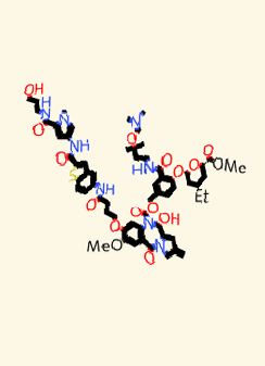 C=C1CC2C(O)N(C(=O)OCc3ccc(O[C@H]4C[C@@H](CC)C[C@@H](C(=O)OC)O4)c(C(=O)NCCC(C)(C)OCN(C)C)c3)c3cc(OCCCC(=O)Nc4ccc5sc(C(=O)Nc6cc(C(=O)NCCCO)n(C)c6)cc5c4)c(OC)cc3C(=O)N2C1